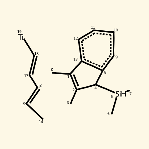 CC1=C(C)C([SiH](C)C)c2ccccc21.CC=CC=[CH][Ti]